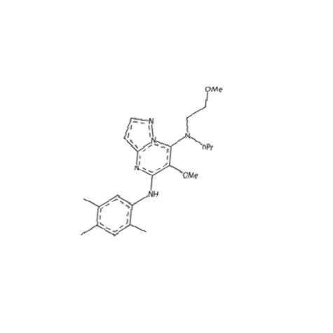 CCCN(CCOC)c1c(OC)c(Nc2cc(C)c(C)cc2C)nc2ccnn12